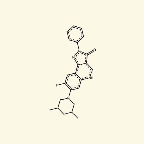 CC1CC(C)CN(c2cc3[nH]cc4c(=O)n(-c5ccccc5)nc-4c3cc2F)C1